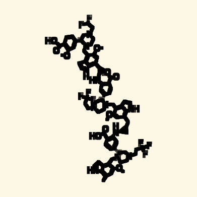 COc1cc([C@H]2CN(CC(F)F)CCN2Cc2c(OC)cc(C3CC3Nc3cc([C@H]4CN(CCC(F)(F)F)CCN4Cc4c(OC)cc(CC5CC5Nc5cc([C@@H]6CN(CCC(F)(F)F)CCN6Cc6c(OC)cc(C)c7[nH]ccc67)ccc5C(=O)O)c5[nH]ccc45)ccc3C(=O)O)c3[nH]ccc23)ccc1C(=O)O